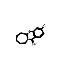 N=c1c2ccc(Cl)cc2nc2n1CCCCC2